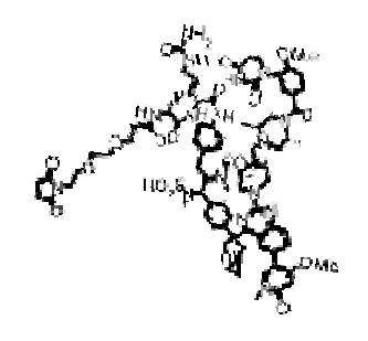 COc1cc(=O)n(C)cc1-c1ccc2nc(N3CCC(CN4C[C@@H](C)N(C(=O)c5ccc(OC)c(N6CCC(=O)NC6=O)c5)C[C@@H]4C)CC3)nc(C(CO)(CC3CC3)c3ccc(C(C(Cc4ccc(NC(=O)[C@H](CCCNC(N)=O)NC(=O)[C@@H](NC(=O)CCOCCOCCN5C(=O)C=CC5=O)C(C)C)cc4)N(C)C(=O)O)N(C)C(=O)O)cc3)c2c1